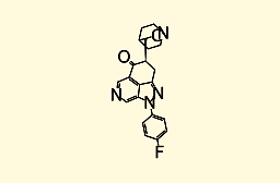 O=C1c2cncc3c2c(nn3-c2ccc(F)cc2)C[C@@H]1C1CN2CCC1CC2